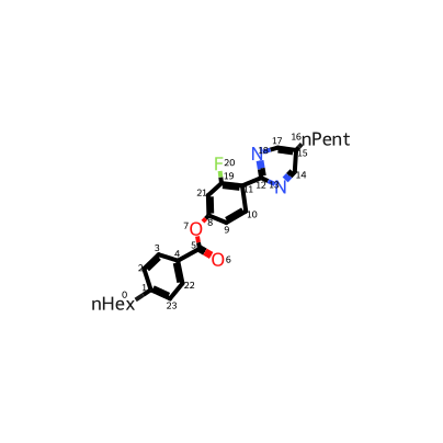 CCCCCCc1ccc(C(=O)Oc2ccc(-c3ncc(CCCCC)cn3)c(F)c2)cc1